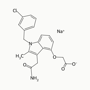 Cc1c(CC(N)=O)c2c(OCC(=O)[O-])cccc2n1Cc1cccc(Cl)c1.[Na+]